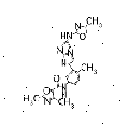 Cc1nc(C)c(C(=O)Nc2ccc(C)c(-c3cn4cc(NC5=NC(C)CO5)cnc4n3)c2)o1